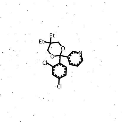 CCC1(CC)COC(c2cccnc2)(c2ccc(Cl)cc2Cl)OC1